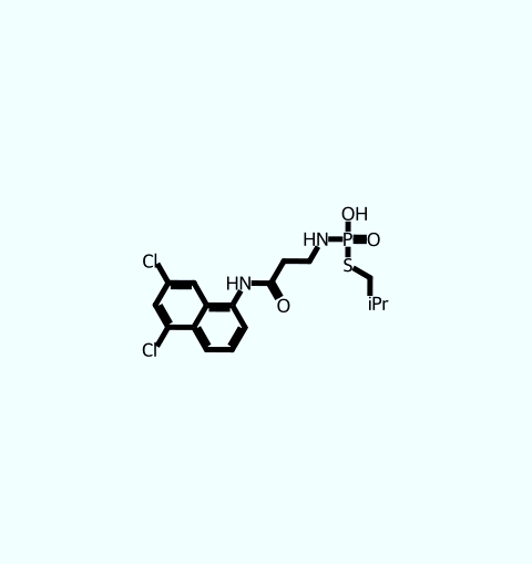 CC(C)CSP(=O)(O)NCCC(=O)Nc1cccc2c(Cl)cc(Cl)cc12